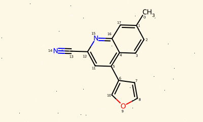 Cc1ccc2c(-c3ccoc3)cc(C#N)nc2c1